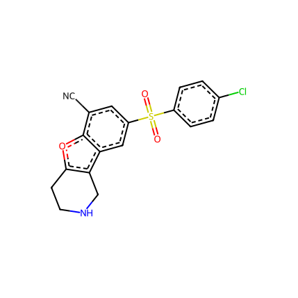 N#Cc1cc(S(=O)(=O)c2ccc(Cl)cc2)cc2c3c(oc12)CCNC3